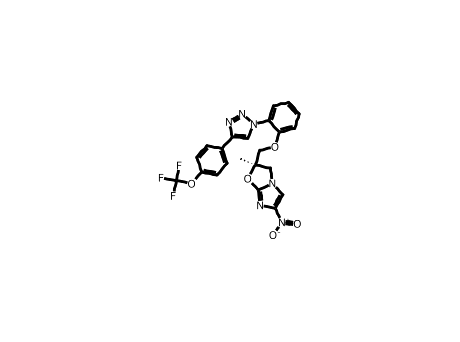 C[C@]1(COc2ccccc2-n2cc(-c3ccc(OC(F)(F)F)cc3)nn2)Cn2cc([N+](=O)[O-])nc2O1